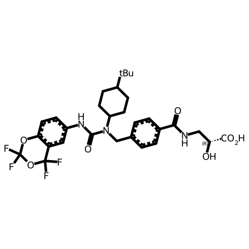 CC(C)(C)C1CCC(N(Cc2ccc(C(=O)NC[C@@H](O)C(=O)O)cc2)C(=O)Nc2ccc3c(c2)C(F)(F)OC(F)(F)O3)CC1